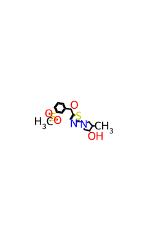 CC1CN(c2ncc(C(=O)c3cccc(S(C)(=O)=O)c3)s2)CC1O